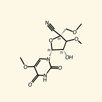 COC[C@@]1(C#N)O[C@@H](n2cc(OC)c(=O)[nH]c2=O)[C@@H](O)C1OC